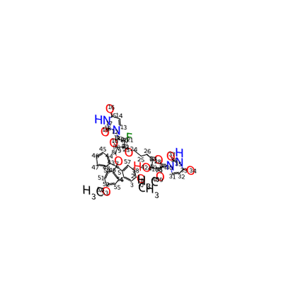 COc1ccc(C(OC[C@H]2O[C@@H](n3ccc(=O)[nH]c3=O)[C@H](F)[C@@H]2OCCC[C@H]2O[C@@H](n3ccc(=O)[nH]c3=O)[C@H](OC)[C@@H]2O)(c2ccccc2)c2ccc(OC)cc2)cc1